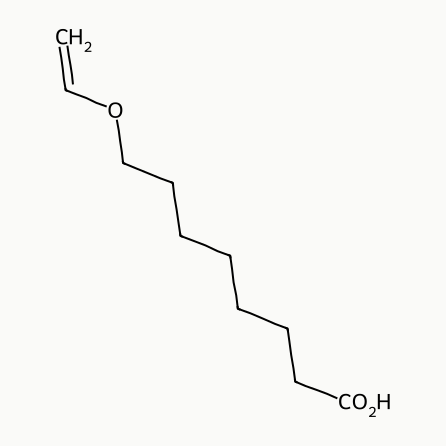 C=COCCCCCCCC(=O)O